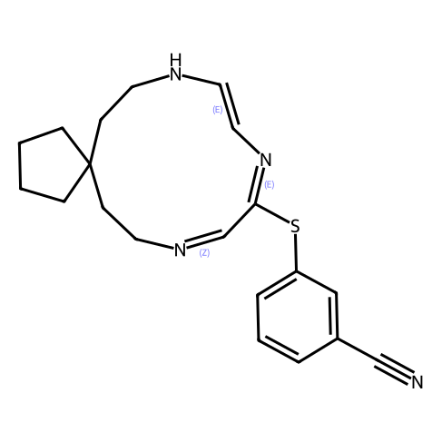 N#Cc1cccc(SC2=N/C=C/NCCC3(CCCC3)CC/N=C\2)c1